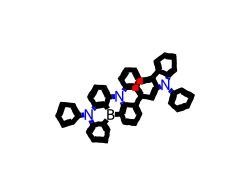 c1ccc(N2c3ccccc3B3c4cccc(-c5ccc6c7ccccc7n(-c7ccccc7)c6c5)c4N(c4ccccc4)c4cccc2c43)cc1